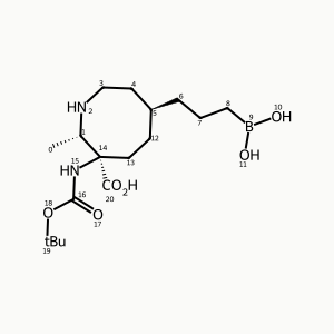 C[C@@H]1NCC[C@@H](CCCB(O)O)CC[C@]1(NC(=O)OC(C)(C)C)C(=O)O